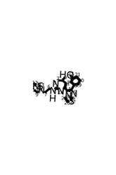 CC1C=NC(NCCN2CCN(C)S2)=NC(c2c(-c3cccc(O)c3)nc3sccn23)=C1